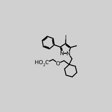 Cc1c(I)c(-c2ccccc2)nn1CC1(COCC(=O)O)CCCCC1